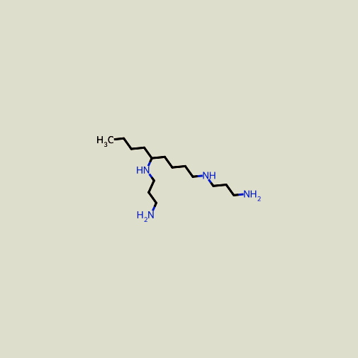 CCCCC(CCCCNCCCN)NCCCN